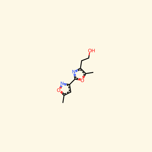 Cc1cc(-c2nc(CCO)c(C)o2)no1